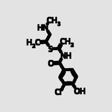 C=C(CNC)SC(=C)NC(=O)c1ccc(O)c(Cl)c1